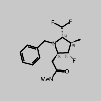 CNC(=O)C[C@@H]1[C@@H](F)[C@H](C)[C@@H](C(F)F)N1Cc1ccccc1